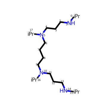 CC(C)NCCCN(CCCCN(CCCNC(C)C)C(C)C)C(C)C